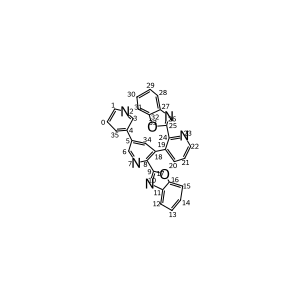 c1cncc(-c2cnc(-c3nc4ccccc4o3)c(-c3cccnc3-c3nc4ccccc4o3)c2)c1